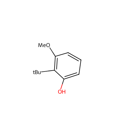 COc1cccc(O)c1C(C)(C)C